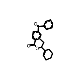 O=C(c1ccccc1)c1ccc2c(c1)CC(C1=CCCCC1)OC2=O